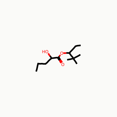 CCCC(O)C(=O)OC(CC)C(C)(C)C